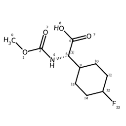 COC(=O)N[C@H](C(=O)O)C1CCC(F)CC1